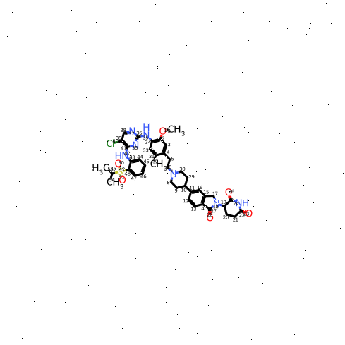 COc1cc(CCN2CCC(c3ccc4c(c3)CN(C3CCC(=O)NC3=O)C4=O)CC2)c(C)cc1Nc1ncc(Cl)c(Nc2ccccc2S(=O)(=O)C(C)C)n1